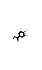 COC(=O)C1=C[C@H](O)[C@@H](O)[C@H](O)C1